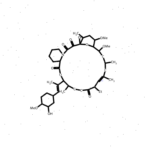 CCC1/C=C(\C)CC(C)CC(OC)C2OC(O)(C(=O)C(=O)N3CCCCC3C(=O)OC(C(C)=CC3CCC(OC)C(O)C3)C(C)CCC1=O)C(C)CC2OC